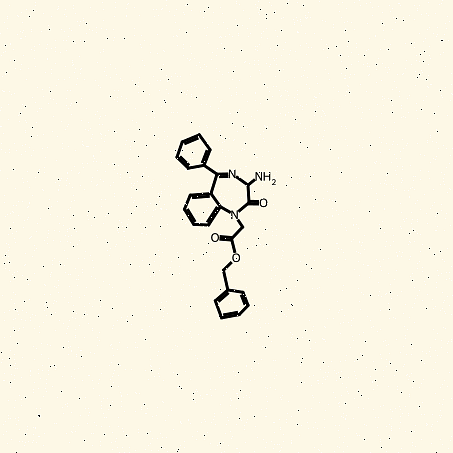 NC1N=C(c2ccccc2)c2ccccc2N(CC(=O)OCc2ccccc2)C1=O